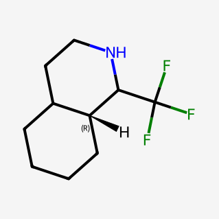 FC(F)(F)C1NCCC2CCCC[C@H]21